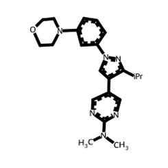 CC(C)c1nn(-c2cccc(N3CCOCC3)c2)cc1-c1cnc(N(C)C)nc1